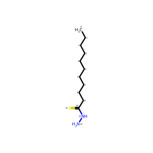 CCCCCCCCCCC(=S)NN